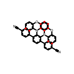 N#Cc1ccc(-c2ccc(-c3ccc(C#N)cc3)c(N3c4ccccc4Oc4ccccc43)c2N2c3ccccc3Oc3ccccc32)cc1